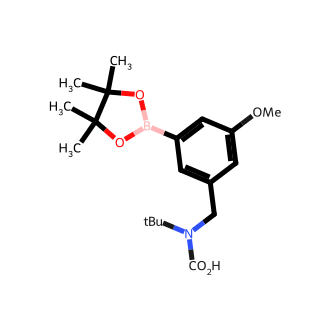 COc1cc(CN(C(=O)O)C(C)(C)C)cc(B2OC(C)(C)C(C)(C)O2)c1